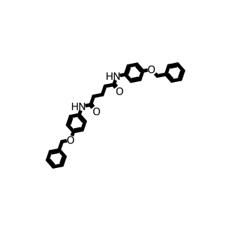 O=C(CCCC(=O)Nc1ccc(OCc2ccccc2)cc1)Nc1ccc(OCc2ccccc2)cc1